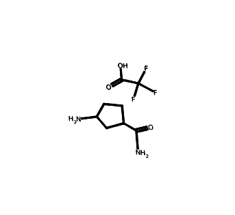 NC(=O)C1CCC(N)C1.O=C(O)C(F)(F)F